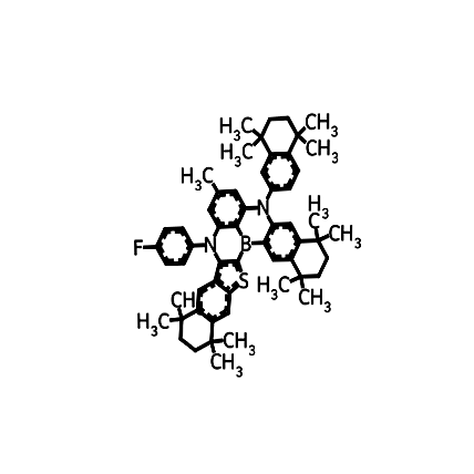 Cc1cc2c3c(c1)N(c1ccc(F)cc1)c1c(sc4cc5c(cc14)C(C)(C)CCC5(C)C)B3c1cc3c(cc1N2c1ccc2c(c1)C(C)(C)CCC2(C)C)C(C)(C)CCC3(C)C